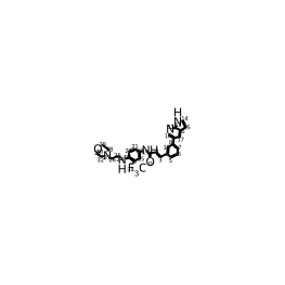 O=C(C=Cc1cccc(-c2cnc3[nH]ccc3c2)c1)Nc1ccc(NCCN2CCOCC2)c(C(F)(F)F)c1